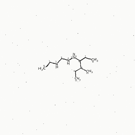 CCNCN[SiH2]C(CC)C(C)CC